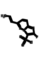 CC=Cc1ccc2nc(F)c(S(=O)(=O)Cl)n2n1